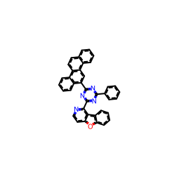 c1ccc(-c2nc(-c3cc4c5ccccc5ccc4c4ccccc34)nc(-c3nccc4oc5ccccc5c34)n2)cc1